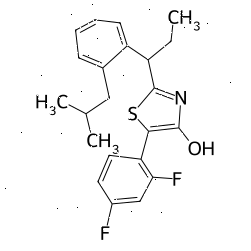 CCC(c1nc(O)c(-c2ccc(F)cc2F)s1)c1ccccc1CC(C)C